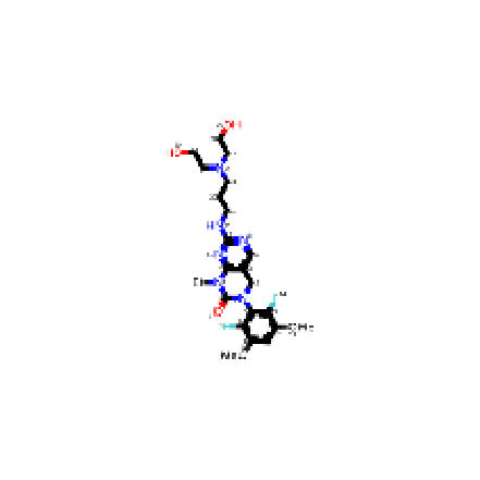 CCN1C(=O)N(c2c(F)c(OC)cc(OC)c2F)Cc2cnc(NCCCN(CCO)CCO)nc21